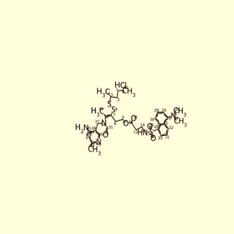 CCCC(C)SSC(CCOC(=O)CCNS(=O)(=O)c1cccc2c(N(C)C)cccc12)=C(C)N(C=O)Cc1cnc(C)nc1N.Cl